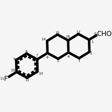 O=CC1CCC2CC(c3ccc(F)cc3)CCC2C1